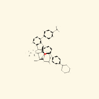 CCC1=Cc2c(-c3ccc(C4CCCCC4)cc3)cccc2[CH]1[Zr]([Cl])([Cl])([CH]1C(C2CCC(C)CC2)=Cc2c(-c3ccc(C(C)C)cc3)cccc21)[SiH](C)C